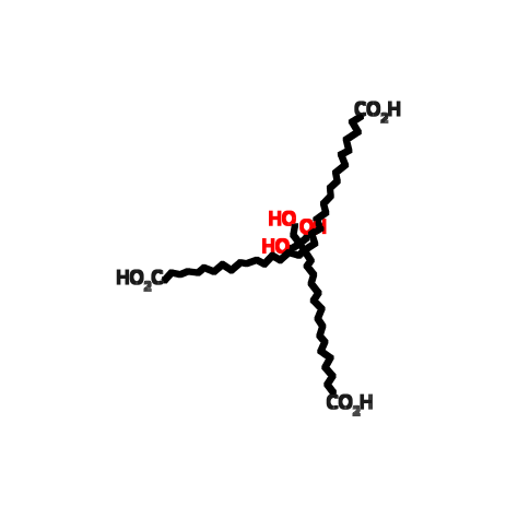 O=C(O)CCCCCCCCCCCCCCCCCC(CCCCCCCCCCCCCCCCCC(=O)O)(CCCCCCCCCCCCCCCCCC(=O)O)C(CO)(CO)CCO